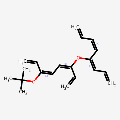 C=C/C=C\C(=C/C=C)O/C(C=C)=C/C=C(\C=C)OC(C)(C)C